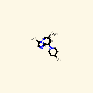 CCCCc1cnc2c(N3CCC(C)CC3)cc(C(=O)OCC)cn12